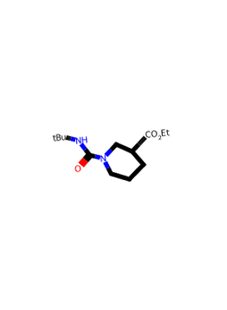 CCOC(=O)C1CCCN(C(=O)NC(C)(C)C)C1